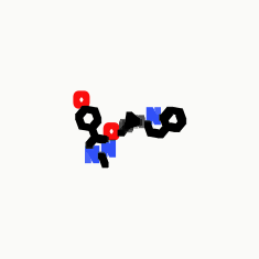 Cc1ncc(C2CCC(=O)CC2)c(OC[C@H]2C[C@@H]2c2ccc3ccccc3n2)n1